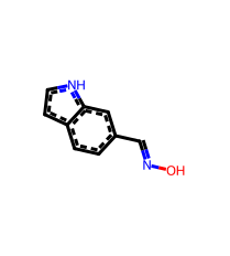 ON=Cc1ccc2cc[nH]c2c1